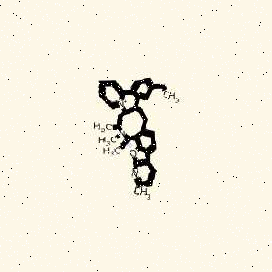 C=C1CC2C(CCc3ccc4c(oc5nc(C)ccc54)c3/C(=C/C)N1C)c1cc(CC)ccc1-c1cccc[n+]12